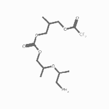 CC(COC(=O)OCC(C)OC(C)CP)COC(=O)C(F)(F)F